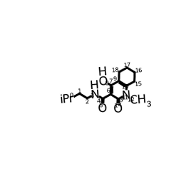 CC(C)CCNC(=O)c1c(O)c2c(n(C)c1=O)CCCC2